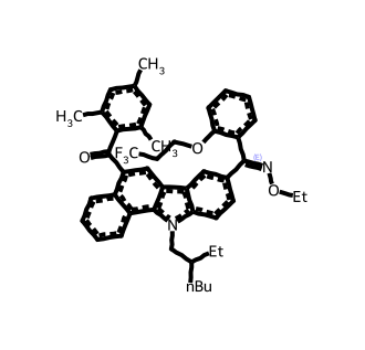 CCCCC(CC)Cn1c2ccc(/C(=N\OCC)c3ccccc3OCCC(F)(F)F)cc2c2cc(C(=O)c3c(C)cc(C)cc3C)c3ccccc3c21